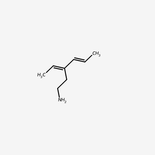 C/C=C/C(=C/C)CCN